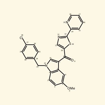 COc1ccc2c(c1)c(C(=O)c1cnc(-c3ccccn3)s1)cn2Cc1ccc(Cl)cc1